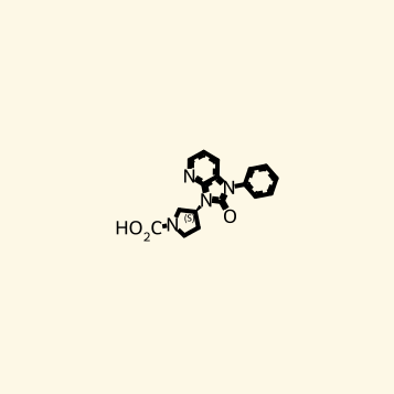 O=C(O)N1CC[C@H](n2c(=O)n(-c3ccccc3)c3cccnc32)C1